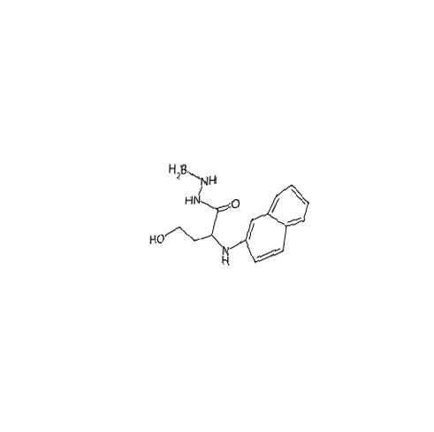 BNNC(=O)C(CCO)Nc1ccc2ccccc2c1